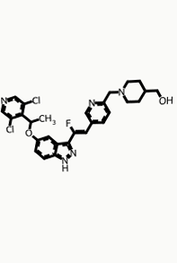 CC(Oc1ccc2[nH]nc(/C(F)=C/c3ccc(CN4CCC(CO)CC4)nc3)c2c1)c1c(Cl)cncc1Cl